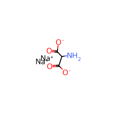 NC(C(=O)[O-])C(=O)[O-].[Na+].[Na+]